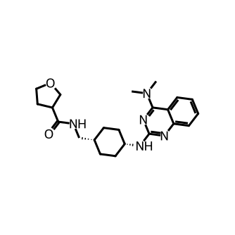 CN(C)c1nc(N[C@H]2CC[C@@H](CNC(=O)C3CCOC3)CC2)nc2ccccc12